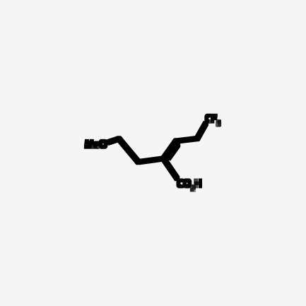 COCCC(=CCC(F)(F)F)C(=O)O